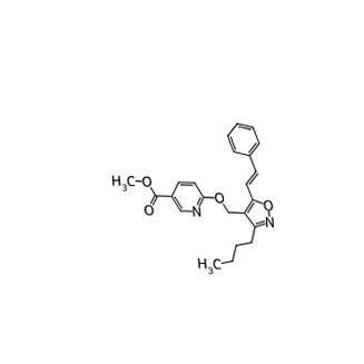 CCCCc1noc(C=Cc2ccccc2)c1COc1ccc(C(=O)OC)cn1